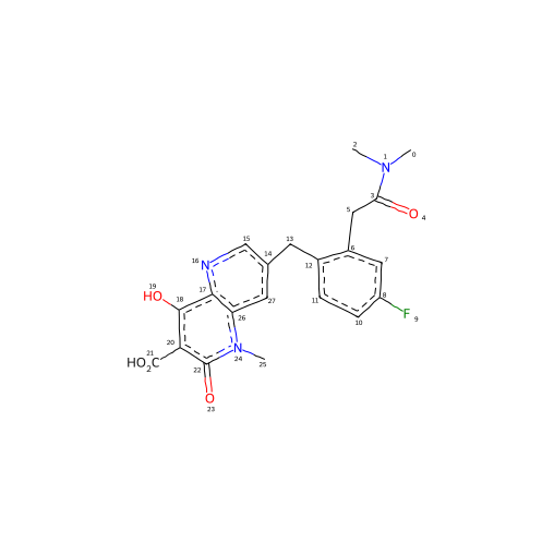 CN(C)C(=O)Cc1cc(F)ccc1Cc1cnc2c(O)c(C(=O)O)c(=O)n(C)c2c1